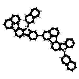 c1ccc2cc(-n3c4ccccc4c4c5c(ccc43)-c3cc(-c4ccc6c7ccc8c(c7n(-c7ccc9ccccc9c7)c6c4)-c4cccc6cccc-8c46)cc4cccc-5c34)ccc2c1